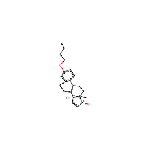 CCCCOc1ccc2c(c1)CCC1C2CC[C@]2(C)[C@@H](O)C=C[C@@H]12